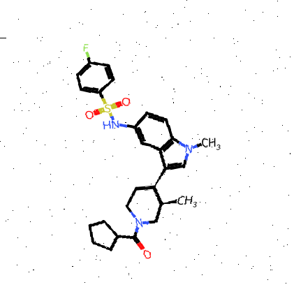 C[C@H]1CN(C(=O)C2CCCC2)CC[C@H]1c1cn(C)c2ccc(NS(=O)(=O)c3ccc(F)cc3)cc12